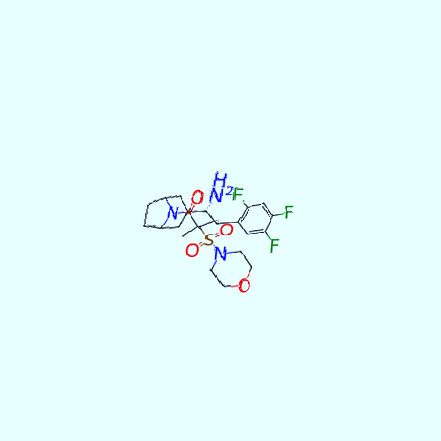 CC(C)(C(=O)N1C2CCC1CC([C@H](N)Cc1cc(F)c(F)cc1F)C2)S(=O)(=O)N1CCOCC1